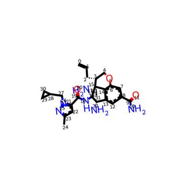 C=CC[C@@H]1COc2cc(C(N)=O)cc3c2[C@H]1[C@](N)(NC(=O)c1cc(C)nn1CC1CC1)[C@H]3N